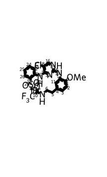 COc1ccc(CCNC(=O)C(F)(F)F)cc1Nc1ncc(Cl)c(Nc2c(F)cccc2S(=O)(=O)C(C)C)n1